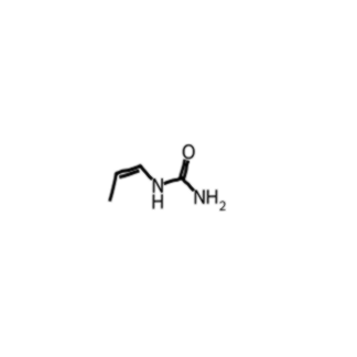 C/C=C\NC(N)=O